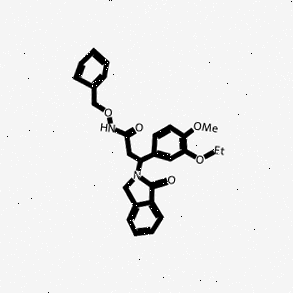 CCOc1cc(C(CC(=O)NOCc2ccccc2)N2Cc3ccccc3C2=O)ccc1OC